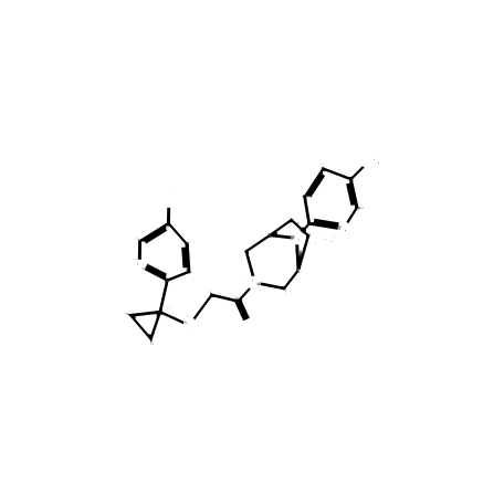 C[C@H]1CC2CN(C(=O)CNC3(c4ccc(F)cn4)CC3)CC1N2c1ccc(C#N)cn1